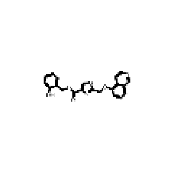 O=C(OCc1ccccc1O)c1coc(COc2cccc3cnccc23)n1